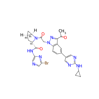 CC(=O)c1nn(CC(=O)N2[C@@H]3C[C@@H]3C[C@H]2C(=O)Nc2cncc(Br)n2)c2ccc(-c3cnc(NC4CC4)nc3)cc12